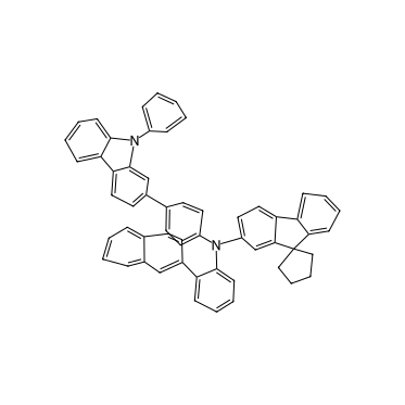 c1ccc(-n2c3ccccc3c3ccc(-c4ccc(N(c5ccc6c(c5)C5(CCCC5)c5ccccc5-6)c5ccccc5-c5ccc6ccccc6c5)cc4)cc32)cc1